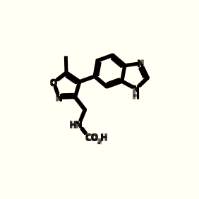 Cc1onc(CNC(=O)O)c1-c1ccc2nc[nH]c2c1